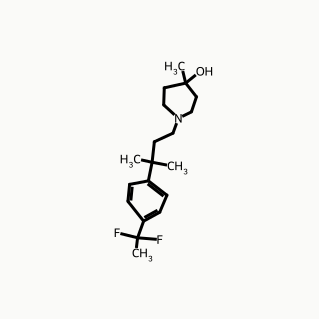 CC1(O)CCN(CCC(C)(C)c2ccc(C(C)(F)F)cc2)CC1